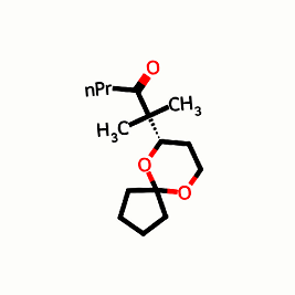 CCCC(=O)C(C)(C)[C@@H]1CCOC2(CCCC2)O1